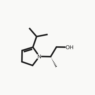 CC(C)C1=CCCN1[C@@H](C)CO